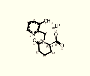 Cc1cccnc1CN1C(=O)CCC[C@@H]1C(=O)[O-].[Li+]